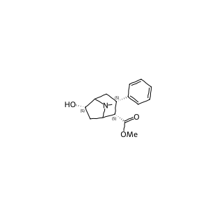 COC(=O)[C@@H]1C2C[C@H](O)C(C[C@@H]1c1ccccc1)N2C